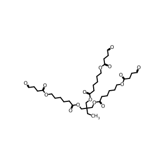 CCC(COC(=O)CCCCCOC(=O)CCC=O)(COC(=O)CCCCCOC(=O)CCC=O)COC(=O)CCCCCOC(=O)CCC=O